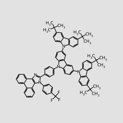 CC(C)(C)c1ccc2c(c1)c1cc(C(C)(C)C)ccc1n2-c1ccc2c(c1)c1cc(-n3c4ccc(C(C)(C)C)cc4c4cc(C(C)(C)C)ccc43)ccc1n2-c1ccc(-c2nc3c4ccccc4c4ccccc4c3n2-c2ccc(C(F)(F)F)cc2)cc1